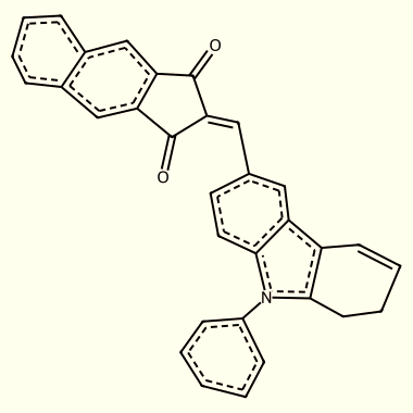 O=C1C(=Cc2ccc3c(c2)c2c(n3-c3ccccc3)CCC=C2)C(=O)c2cc3ccccc3cc21